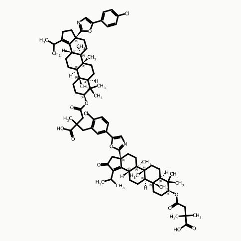 CC(C)C1=C2[C@H]3CC[C@@H]4[C@@]5(C)CC[C@H](OC(=O)CC(C)(Cc6cc(-c7cnc([C@@]89CC[C@]%10(C)[C@H](CC[C@@H]%11[C@@]%12(C)CC[C@H](OC(=O)CC(C)(C)C(=O)O)C(C)(C)[C@@H]%12CC[C@]%11%10C)C8=C(C(C)C)C(=O)C9)o7)ccc6Cl)C(=O)O)C(C)(C)[C@@H]5CC[C@@]4(C)[C@]3(C)CC[C@@]2(c2ncc(-c3ccc(Cl)cc3)o2)CC1